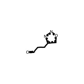 O=[C]CCc1conn1